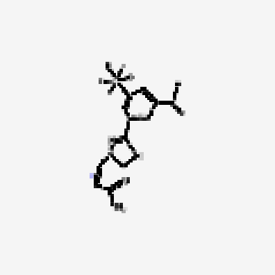 NC(=O)/C=C\N1CNC(c2cc(C(F)F)cc(S(F)(F)(F)(F)F)c2)=N1